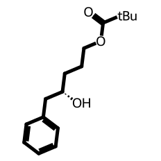 CC(C)(C)C(=O)OCCC[C@H](O)Cc1ccccc1